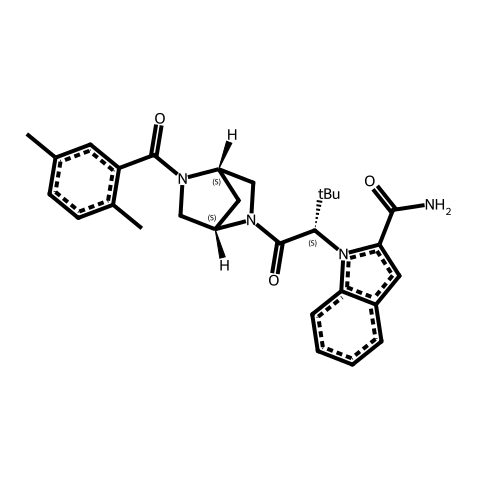 Cc1ccc(C)c(C(=O)N2C[C@@H]3C[C@H]2CN3C(=O)[C@@H](n2c(C(N)=O)cc3ccccc32)C(C)(C)C)c1